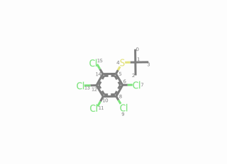 CC(C)(C)Sc1c(Cl)c(Cl)c(Cl)c(Cl)c1Cl